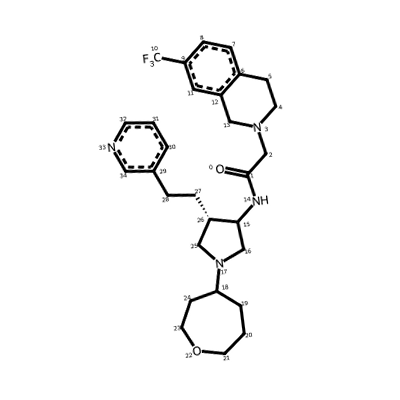 O=C(CN1CCc2ccc(C(F)(F)F)cc2C1)NC1CN(C2CCCOCC2)C[C@@H]1CCc1cccnc1